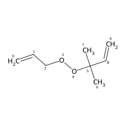 C=CCOOC(C)(C)C=C